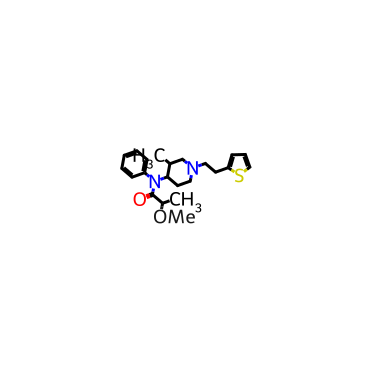 COC(C)C(=O)N(c1ccccc1)C1CCN(CCc2cccs2)CC1C